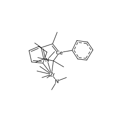 CC1=C(C)[C](C)([Zr]([CH3])([CH3])([CH3])([CH3])([CH3])([C]2=CC=CC2)([N](C)C)[N](C)C)[Ge]([c]2ccccc2)=[C]1C